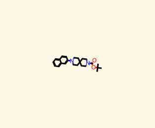 CC(C)(C)OC(=O)N1CCC2(CC1)CCN(c1ccc3ccccc3c1)CC2